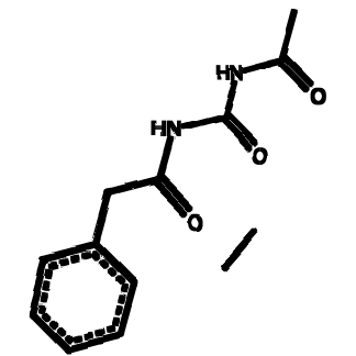 CC.CC(=O)NC(=O)NC(=O)Cc1ccccc1